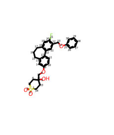 O=S1(=O)CCC(O)(COc2ccc3c(c2)CCCc2cc(F)c(COc4ccccc4)cc2-3)CC1